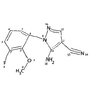 COc1c(F)cccc1-n1ncc(C#N)c1N